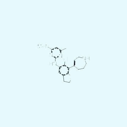 CNc1cc(C)nc(Nc2cc3c(c(C4=CCNCCC4)c2Cl)OCC3)n1